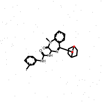 CN1C(=O)C(NC(=O)Nc2cccc(I)c2)N=C(N2CC3CCC(CC3)C2)c2ccccc21